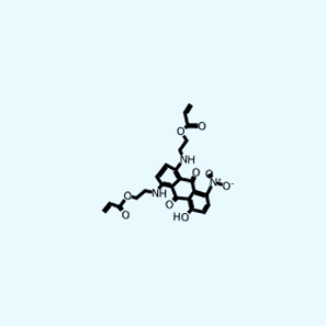 C=CC(=O)OCCNc1ccc(NCCOC(=O)C=C)c2c1C(=O)c1c(O)ccc([N+](=O)[O-])c1C2=O